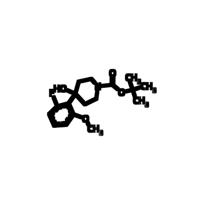 COc1cccc(F)c1C1(O)CCN(C(=O)OC(C)(C)C)CC1